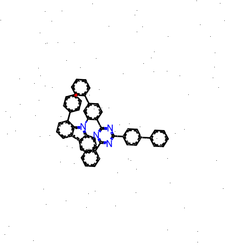 c1ccc(-c2ccc(-c3nc(-c4ccccc4)nc(-c4ccc(-c5ccccc5)cc4-n4c5ccccc5c5cccc(-c6ccccc6)c54)n3)cc2)cc1